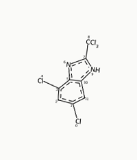 Clc1cc(Cl)c2nc(C(Cl)(Cl)Cl)[nH]c2c1